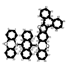 c1ccc2c(c1)Oc1ccccc1N2c1c2ccccc2c(N2c3ccccc3Oc3cc4c(cc32)oc2c3ccccc3c3ccccc3c42)c2ccccc12